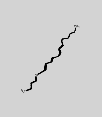 CCCCCCC=CC=CC=COCCCC